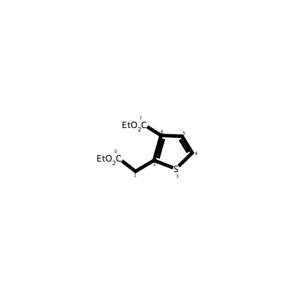 CCOC(=O)Cc1sccc1C(=O)OCC